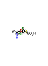 CC(C)c1c[nH]c2ccc(Oc3c(Cl)cc(SCC(=O)O)cc3Cl)cc12